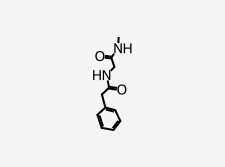 CNC(=O)CNC(=O)Cc1ccccc1